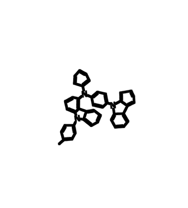 Cc1ccc(-n2c3ccccc3c3c(N(c4ccccc4)c4ccc(-n5c6ccccc6c6ccccc65)cc4)cccc32)cc1